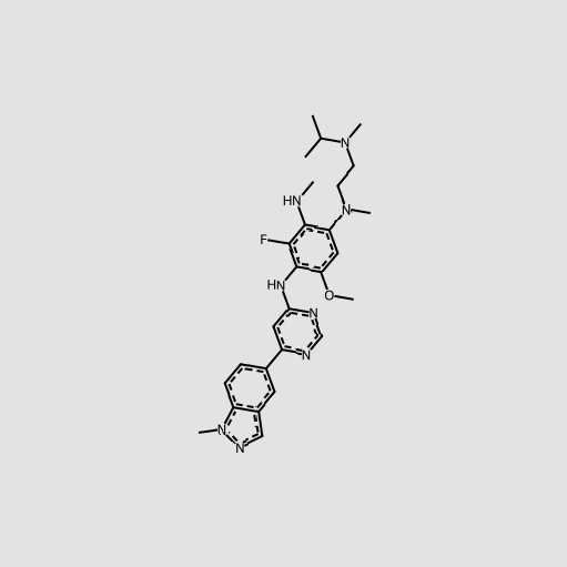 CNc1c(N(C)CCN(C)C(C)C)cc(OC)c(Nc2cc(-c3ccc4c(cnn4C)c3)ncn2)c1F